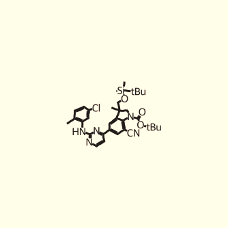 Cc1ccc(Cl)cc1Nc1nccc(-c2cc(C#N)c3c(c2)C(C)(CO[Si](C)(C)C(C)(C)C)CN3C(=O)OC(C)(C)C)n1